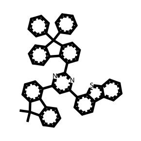 CC1(C)c2ccccc2-c2c(-c3cc(-c4cccc5c4sc4ccccc45)nc(-c4cccc5c4-c4ccccc4C5(c4ccccc4)c4ccccc4)n3)cccc21